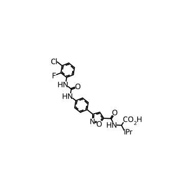 CC(C)C(NC(=O)c1cc(-c2ccc(NC(=O)Nc3cccc(Cl)c3F)cc2)no1)C(=O)O